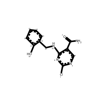 NC(=O)c1cnc(Cl)nc1NCc1ccccc1O